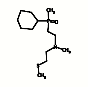 CSCCN(C)CCP(C)(=O)C1CCCCC1